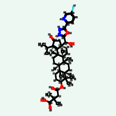 CC(C)C1=C2[C@H]3CC[C@@H]4[C@@]5(C)CC[C@H](OC(=O)CC(C)(C)C(=O)O)C(C)(C)[C@@H]5CC[C@@]4(C)[C@]3(C)CC[C@@]2([C@H](O)c2nnc(-c3ccc(F)cn3)o2)CC1=O